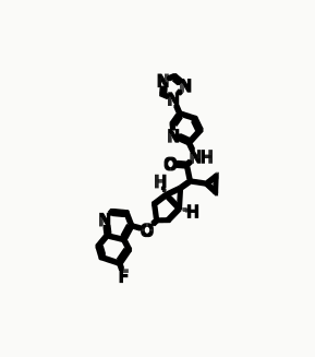 O=C(Nc1ccc(-n2cncn2)cn1)C(C1CC1)C1[C@H]2CC(Oc3ccnc4ccc(F)cc34)C[C@@H]12